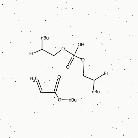 C=CC(=O)OCCCC.CCCCC(CC)COP(=O)(O)OCC(CC)CCCC